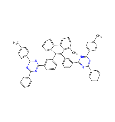 Cc1ccc(-c2nc(-c3ccccc3)nc(-c3cccc(-c4c(-c5cccc(-c6nc(-c7ccccc7)nc(-c7ccc(C)cc7)n6)c5)c5c(C)cccc5c5ccccc45)c3)n2)cc1